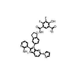 [2H]C(=O)c1cc(C(=O)N[C@H]2CCc3cc(-n4c(-c5cccnc5N)nc5ccc(-n6cccn6)nc54)ccc32)c(F)c(F)c1O